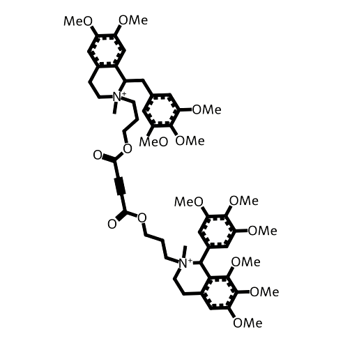 COc1cc2c(cc1OC)C(Cc1cc(OC)c(OC)c(OC)c1)[N+](C)(CCCOC(=O)C#CC(=O)OCCC[N+]1(C)CCc3cc(OC)c(OC)c(OC)c3C1c1cc(OC)c(OC)c(OC)c1)CC2